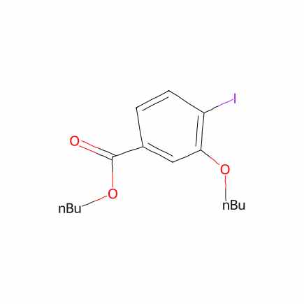 CCCCOC(=O)c1ccc(I)c(OCCCC)c1